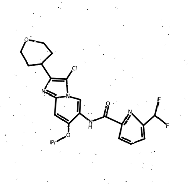 CC(C)Oc1cc2nc(C3CCOCC3)c(Cl)n2cc1NC(=O)c1cccc(C(F)F)n1